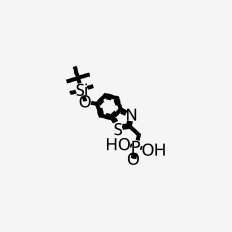 CC(C)(C)[Si](C)(C)Oc1ccc2nc(CP(=O)(O)O)sc2c1